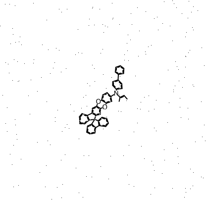 C/C=C(\C)N(c1ccc(-c2ccccc2)cc1)c1ccc2c(c1)Oc1cc3c(cc1O2)-c1ccccc1C31c2ccccc2-c2ccccc21